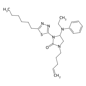 C=CCCCN1CC(N(CC)c2ccccc2)N(c2nnc(CCCCCC)s2)C1=O